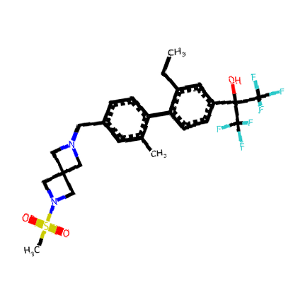 CCc1cc(C(O)(C(F)(F)F)C(F)(F)F)ccc1-c1ccc(CN2CC3(C2)CN(S(C)(=O)=O)C3)cc1C